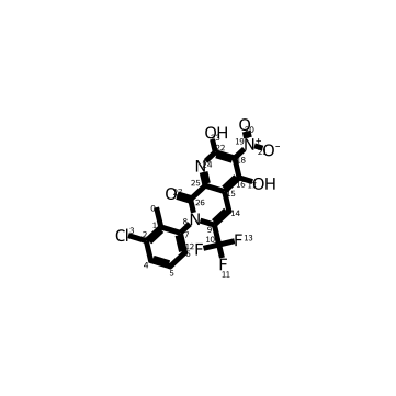 Cc1c(Cl)cccc1-n1c(C(F)(F)F)cc2c(O)c([N+](=O)[O-])c(O)nc2c1=O